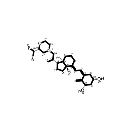 C=C1/C(=C\C=C2/CCC[C@]3(C)[C@@H](C(C)CN4CCO[C@@H](C(F)F)C4)CC[C@@H]23)C[C@@H](O)C[C@@H]1O